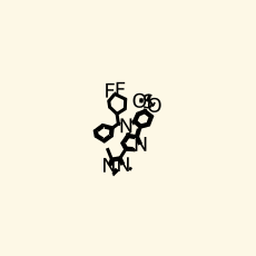 Cc1ncn(C)c1-c1cnc2c3ccc(S(C)(=O)=O)cc3n(C(c3ccccc3)C3CCC(F)(F)CC3)c2c1